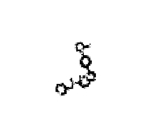 CN(Cc1cccnc1)c1ccc2ncc(-c3ccc(N4CCCC4=O)cc3)n2n1